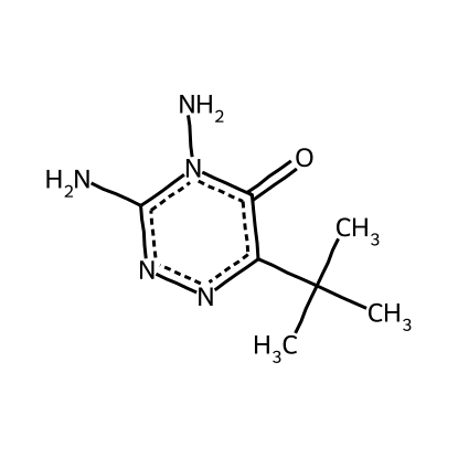 CC(C)(C)c1nnc(N)n(N)c1=O